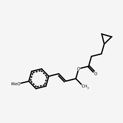 COc1ccc(/C=C/C(C)OC(=O)CCC2CC2)cc1